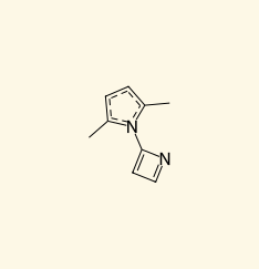 Cc1ccc(C)n1C1=CC=N1